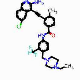 CCN1CCN(Cc2ccc(NC(=O)c3ccc(C)c(C#Cc4c(N)ncc5ccc(Cl)cc45)c3)cc2C(F)(F)F)CC1